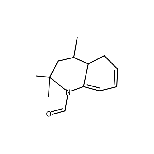 CC1CC(C)(C)N(C=O)C2=CC=CCC21